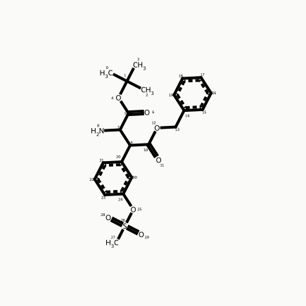 CC(C)(C)OC(=O)C(N)C(C(=O)OCc1ccccc1)c1cccc(OS(C)(=O)=O)c1